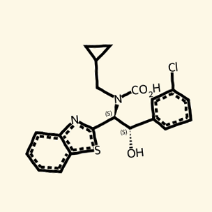 O=C(O)N(CC1CC1)[C@H](c1nc2ccccc2s1)[C@@H](O)c1cccc(Cl)c1